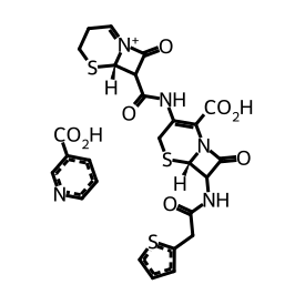 O=C(Cc1cccs1)NC1C(=O)N2C(C(=O)O)=C(NC(=O)C3C(=O)[N+]4=CCCS[C@@H]34)CS[C@@H]12.O=C(O)c1cccnc1